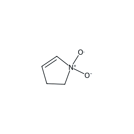 [O][N+]1([O-])C=CCC1